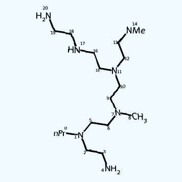 CCCN(CCN)CCN(C)CCN(CCNC)CCNCCN